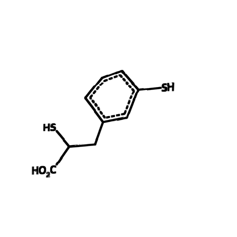 O=C(O)C(S)Cc1cccc(S)c1